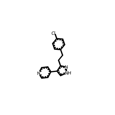 Clc1ccc(CCc2n[nH]cc2-c2ccncc2)cc1